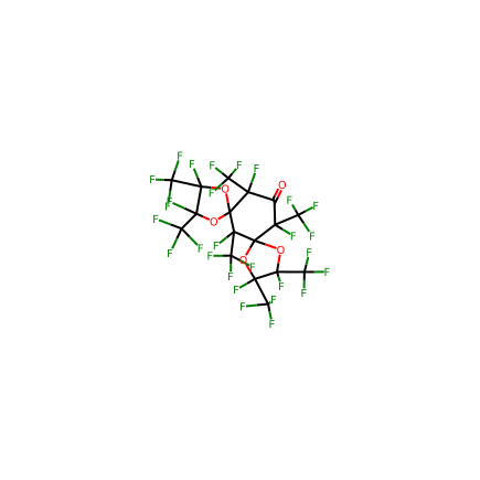 O=C1C(F)(C(F)(F)F)C2(OC(F)(C(F)(F)F)C(F)(C(F)(F)F)O2)C(F)(C(F)(F)F)C2(OC(F)(C(F)(F)F)C(F)(C(F)(F)F)O2)C1(F)C(F)(F)F